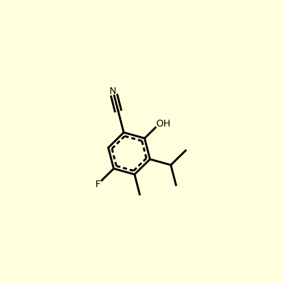 Cc1c(F)cc(C#N)c(O)c1C(C)C